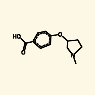 CN1CCC(Oc2ccc(C(=O)O)cc2)C1